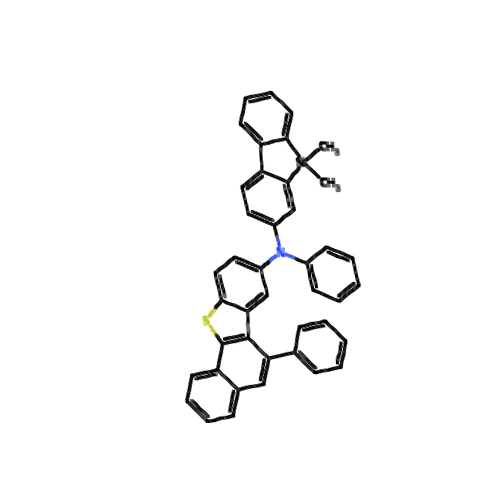 C[Si]1(C)c2ccccc2-c2ccc(N(c3ccccc3)c3ccc4sc5c6ccccc6cc(-c6ccccc6)c5c4c3)cc21